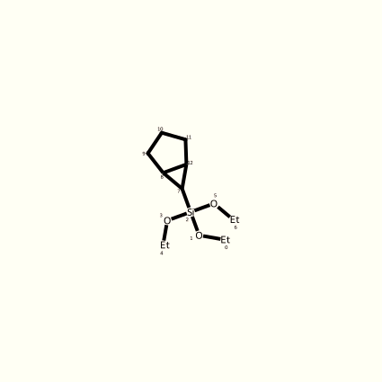 CCO[Si](OCC)(OCC)C1C2CCCC21